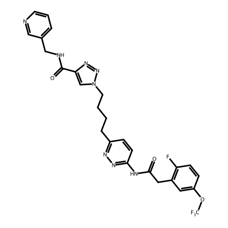 O=C(Cc1cc(OC(F)(F)F)ccc1F)Nc1ccc(CCCCn2cc(C(=O)NCc3cccnc3)nn2)nn1